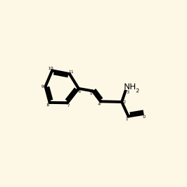 C=CC(N)C=Cc1ccccc1